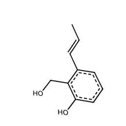 C/C=C/c1cccc(O)c1CO